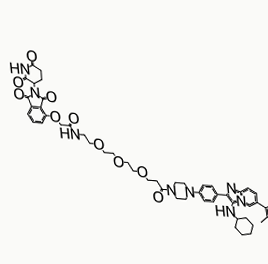 Cc1noc(C)c1-c1ccc2nc(-c3ccc(N4CCN(C(=O)CCOCCOCCOCCNC(=O)COc5cccc6c5C(=O)N(C5CCC(=O)NC5=O)C6=O)CC4)cc3)c(NC3CCCCC3)n2c1